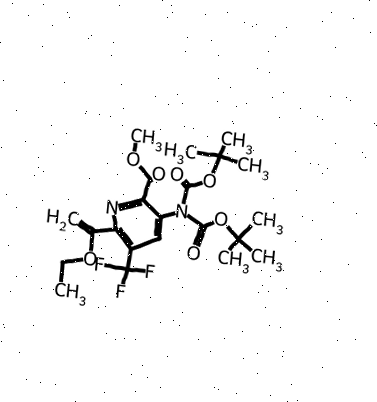 C=C(OCC)c1nc(C(=O)OC)c(N(C(=O)OC(C)(C)C)C(=O)OC(C)(C)C)cc1C(F)(F)F